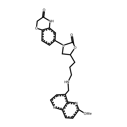 COc1ccc2nccc(CNCCCC3CN(c4ccc5c(c4)NC(=O)CO5)C(=O)O3)c2n1